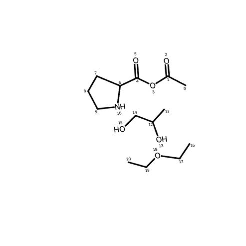 CC(=O)OC(=O)C1CCCN1.CC(O)CO.CCOCC